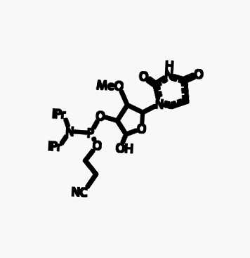 COC1C(OP(OCCC#N)N(C(C)C)C(C)C)C(O)OC1n1ccc(=O)[nH]c1=O